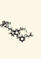 CC(C)COc1cccc(Sc2nc(N)nc3c2ncn3CCOCP(=O)(O)O)c1